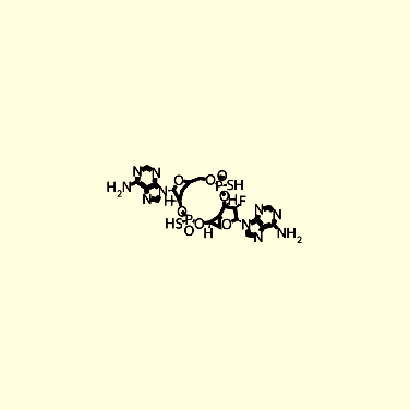 Nc1ncnc2c1ncn2[C@@H]1OC23C[C@H]2O[P@@](=O)(S)O[C@@H]2CC(CO[P@@](=O)(S)O[C@H]3[C@H]1F)O[C@H]2n1cnc2c(N)ncnc21